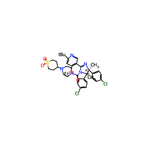 CCOc1cc(C(C)(C)C)ncc1C1=N[C@@](C)(c2ccc(Cl)cc2)[C@@](C)(c2ccc(Cl)cc2)N1C(=O)N1CCN(C2CCS(=O)(=O)CC2)CC1